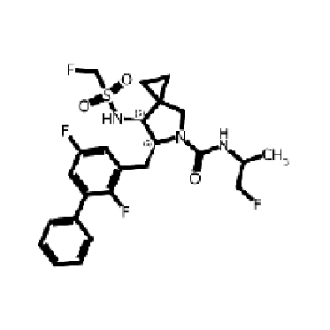 CC(CF)NC(=O)N1CC2(CC2)[C@H](NS(=O)(=O)CF)[C@@H]1Cc1cc(F)cc(-c2ccccc2)c1F